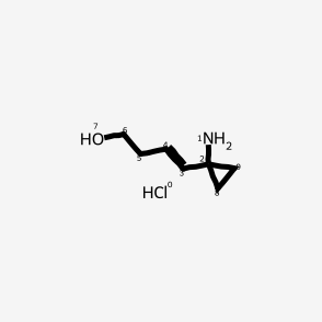 Cl.NC1(C=CCCO)CC1